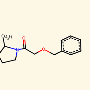 O=C(O)C1CCCN1C(=O)COCc1ccccc1